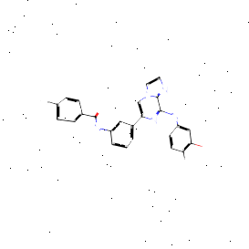 CC(C)(C)c1ccc(C(=O)Nc2cccc(-c3cn4ccnc4c(Nc4ccc(C(=O)O)c(O)c4)n3)c2)cc1